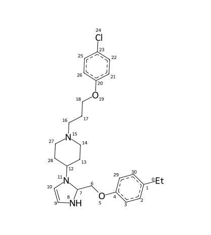 CCc1ccc(OCC2NC=CN2C2CCN(CCCOc3ccc(Cl)cc3)CC2)cc1